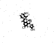 Cc1nc(C(C)c2cc(Cl)c(F)c(C(=O)N3CCC(O)C3)c2OC(C)C)n2ccnc(N)c12